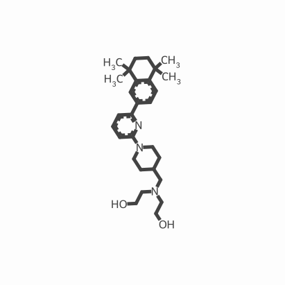 CC1(C)CCC(C)(C)c2cc(-c3cccc(N4CCC(CN(CCO)CCO)CC4)n3)ccc21